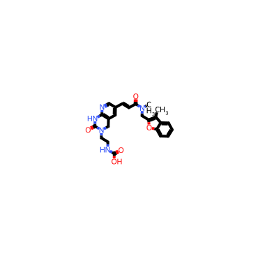 Cc1c(CN(C)C(=O)C=Cc2cnc3c(c2)CN(CCNC(=O)O)C(=O)N3)oc2ccccc12